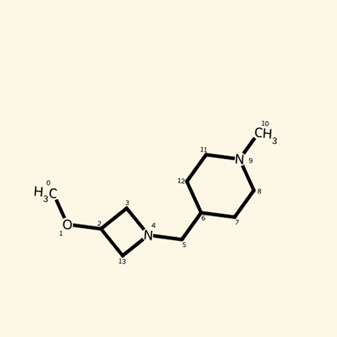 COC1CN(CC2CCN(C)CC2)C1